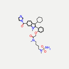 CN(CCCCN(C)S(N)(=O)=O)C(=O)COc1ccccc1-c1c(C2CCCCC2)c2ccc(C(=O)n3ccnc3)cc2n1C